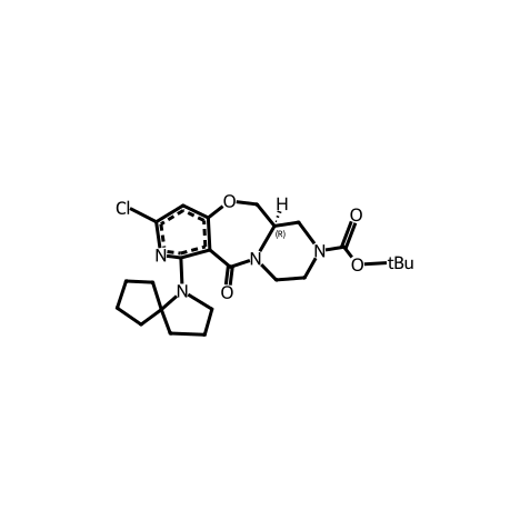 CC(C)(C)OC(=O)N1CCN2C(=O)c3c(cc(Cl)nc3N3CCCC34CCCC4)OC[C@H]2C1